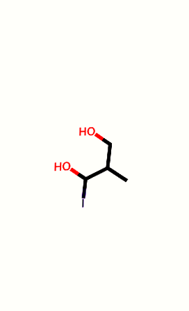 CC(CO)C(O)I